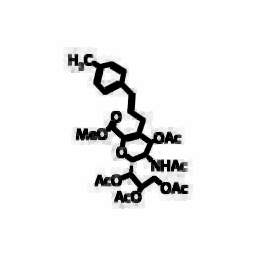 COC(=O)C1=C(CC=Cc2ccc(C)cc2)[C@H](OC(C)=O)[C@@H](NC(C)=O)[C@H](C(OC(C)=O)C(COC(C)=O)OC(C)=O)O1